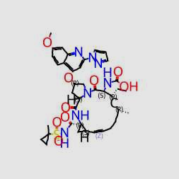 CC[C@@H]1C[C@H](C)CC/C=C\[C@@H]2C[C@@]2(C(=O)NS(=O)(=O)C2(C)CC2)NC(=O)[C@@H]2C[C@@H](Oc3cc(-n4cccn4)nc4cc(OC)ccc34)CN2C(=O)[C@H]1NC(=O)O